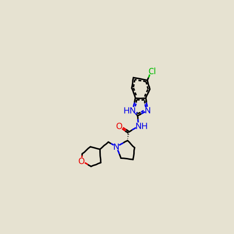 O=C(Nc1nc2cc(Cl)ccc2[nH]1)[C@@H]1CCCN1CC1CCOCC1